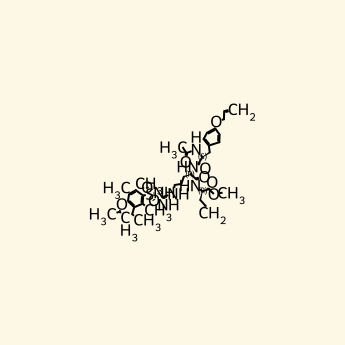 C=CCOc1ccc(C[C@H](NC(C)=O)C(=O)N[C@H](CCCNC(=N)NS(=O)(=O)c2c(C)c(C)c(OC(C)C)c(CC)c2C)C(=O)N[C@H](CC=C)C(=O)OC)cc1